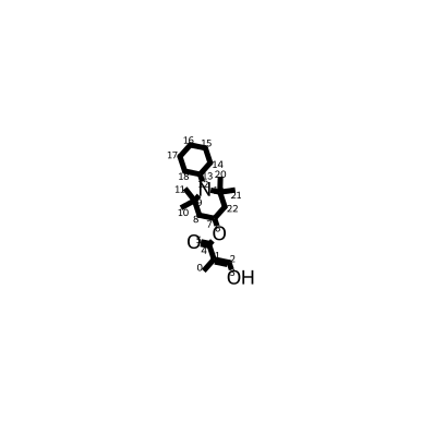 CC(=CO)C(=O)OC1CC(C)(C)N(C2CCCCC2)C(C)(C)C1